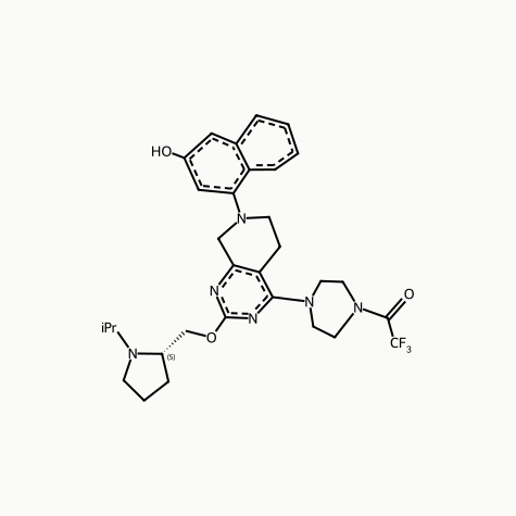 CC(C)N1CCC[C@H]1COc1nc2c(c(N3CCN(C(=O)C(F)(F)F)CC3)n1)CCN(c1cc(O)cc3ccccc13)C2